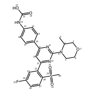 CC1COCCN1c1nc(-c2ccc(NC(=O)O)cc2)cc(-c2cc(F)ccc2S(C)(=O)=O)n1